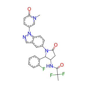 Cn1cc(-n2ncc3cc(N4C(=O)CC(NC(=O)C(C)(F)F)C4c4ccccc4F)ccc32)ccc1=O